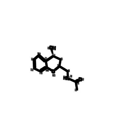 CC(=O)NCC1C[C@@H](O)c2ccccc2O1